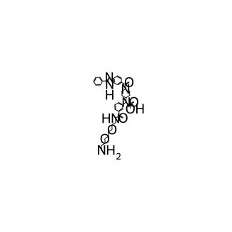 NCCOCCOCCNC(=O)c1cccc(N(C(=O)O)C2CCN(C(=O)c3ccc4nc(-c5ccccc5)[nH]c4c3)CC2)c1